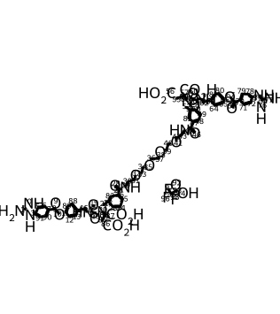 N=C(N)Nc1ccc(C(=O)Oc2ccc(CNS(=O)(=O)N(Cc3cccc(C(=O)NCCOCCOCCOCCOCCNC(=O)c4cccc(CN([C@@H](CC(=O)O)C(=O)O)S(=O)(=O)NCc5ccc(OC(=O)c6ccc(NC(=N)N)cc6)cc5)c4)c3)[C@@H](CC(=O)O)C(=O)O)cc2)cc1.O=C(O)C(F)(F)F